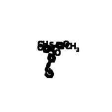 COc1ccc(-c2sc3cc(OC)ccc3c2C(=O)c2ccc(C#CCN3CCCCC3)cc2)cc1